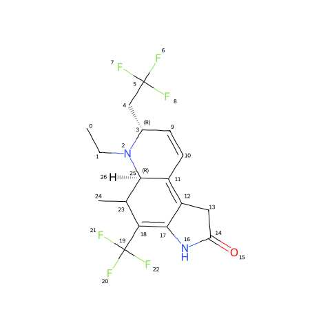 CCN1[C@H](CC(F)(F)F)C=CC2=C3CC(=O)NC3=C(C(F)(F)F)C(C)[C@H]21